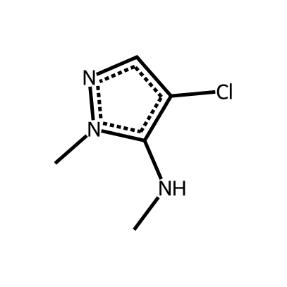 CNc1c(Cl)cnn1C